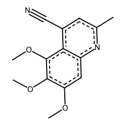 COc1cc2nc(C)cc(C#N)c2c(OC)c1OC